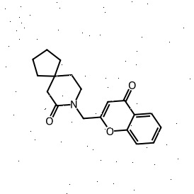 O=C1CC2(CCCC2)CCN1Cc1cc(=O)c2ccccc2o1